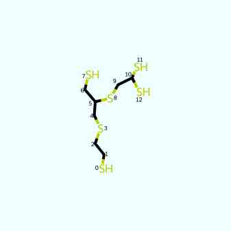 SCCSCC(CS)SCC(S)S